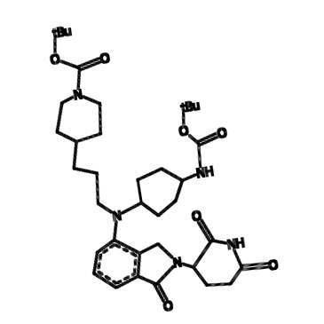 CC(C)(C)OC(=O)NC1CCC(N(CCCC2CCN(C(=O)OC(C)(C)C)CC2)c2cccc3c2CN(C2CCC(=O)NC2=O)C3=O)CC1